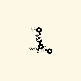 COC(=O)c1cc(-c2cnc(NCc3cccc(C)c3)nc2)cc(OCc2ccccc2)c1Cl